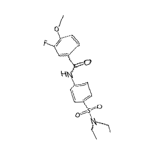 CCN(CC)S(=O)(=O)c1ccc(NC(=O)c2ccc(OC)c(F)c2)cc1